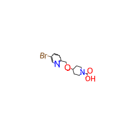 O=C(O)N1CCC(OCc2ccc(Br)cn2)CC1